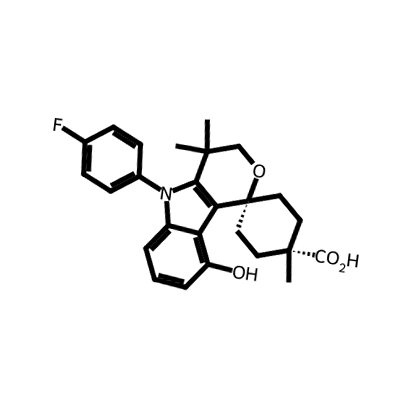 CC1(C)CO[C@]2(CC[C@@](C)(C(=O)O)CC2)c2c1n(-c1ccc(F)cc1)c1cccc(O)c12